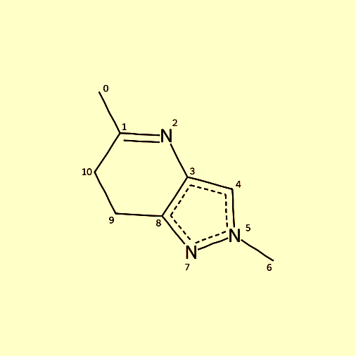 CC1=Nc2cn(C)nc2CC1